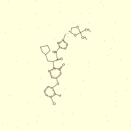 CC1(C)OC[C@@H](Cn2ccc(NC(=O)C(CC3CCCC3)n3ncc(Oc4cccc(Cl)c4F)cc3=O)n2)O1